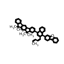 C/C=C\C=C/c1cc(-c2ccc3c(c2)C(C)(C)c2cc4c(cc2-3)-c2ccccc2C4(C)C)c2ccccc2c1-c1ccc2c(c1)oc1ccccc12